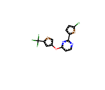 FC(F)(F)c1cc(Oc2ccnc(-c3ccc(Cl)s3)n2)cs1